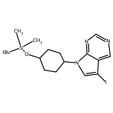 CC(C)(C)[Si](C)(C)OC1CCC(n2cc(I)c3cncnc32)CC1